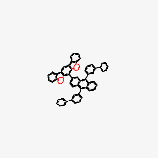 c1ccc(-c2cccc(-c3c4ccccc4c(-c4cccc(-c5ccccc5)c4)c4cc(-c5c6oc7ccccc7c6cc6c5oc5ccccc56)ccc34)c2)cc1